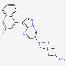 Cc1cc(-c2cnn3cc(N4CC5(CC(N)C5)C4)cnc23)c2ccccc2n1